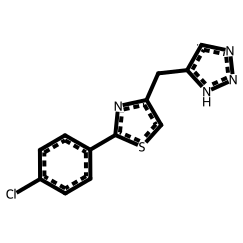 Clc1ccc(-c2nc(Cc3[c]nn[nH]3)cs2)cc1